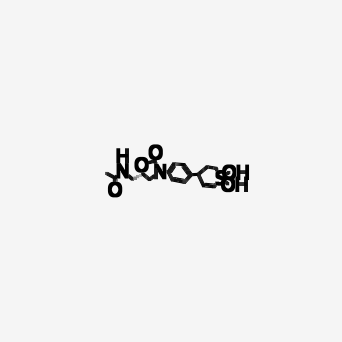 CC(=O)NC[C@H]1CN(c2ccc(C3C=CS(O)(O)CC3)cc2)C(=O)O1